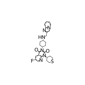 O=c1c2cc(F)cnc2n(C2CCSCC2)c(=O)n1[C@H]1CC[C@@H](NCc2cn3ccccc3n2)CC1